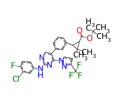 CC(C)(C)OC(=O)C1C(c2cccc(-c3cnc(Nc4ccc(F)c(Cl)c4)nc3-n3ccc(C(F)(F)F)n3)c2)C1(C)C